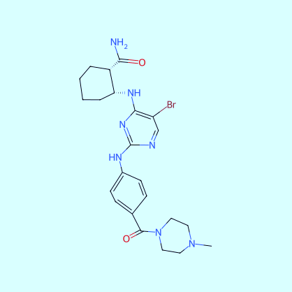 CN1CCN(C(=O)c2ccc(Nc3ncc(Br)c(N[C@@H]4CCCC[C@@H]4C(N)=O)n3)cc2)CC1